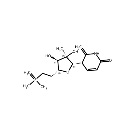 C=C1NC(=O)C=CC1[C@@H]1O[C@H](CCP(=C)(C)C)[C@@H](O)[C@@]1(C)O